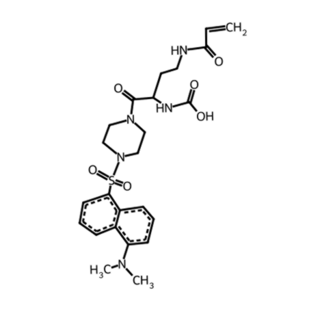 C=CC(=O)NCCC(NC(=O)O)C(=O)N1CCN(S(=O)(=O)c2cccc3c(N(C)C)cccc23)CC1